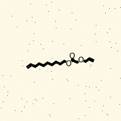 C=CCCCCCCCCOC(=O)COCC=C